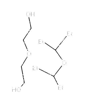 CCC(CC)OC(CC)CC.OCCOCCO